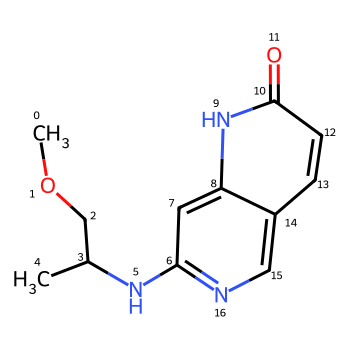 COCC(C)Nc1cc2[nH]c(=O)ccc2cn1